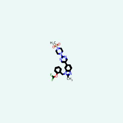 Cc1nc2ccc(-c3cnc(N4CCN(S(C)(=O)=O)CC4)nc3)cc2n1Cc1ccccc1OC(F)F